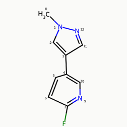 Cn1cc(-c2ccc(F)nc2)cn1